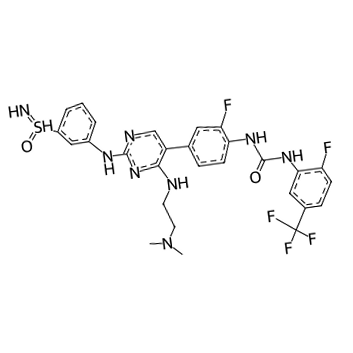 CN(C)CCNc1nc(Nc2cccc([SH](=N)=O)c2)ncc1-c1ccc(NC(=O)Nc2cc(C(F)(F)F)ccc2F)c(F)c1